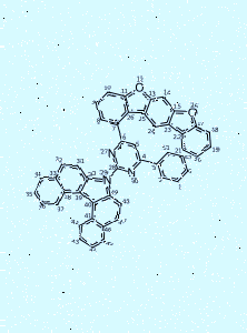 c1ccc(-c2cc(-c3cccc4oc5cc6oc7ccccc7c6cc5c34)nc(-n3c4ccc5ccccc5c4c4c5ccccc5ccc43)n2)cc1